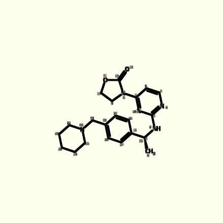 C[C@H](Nc1nccc(N2CCOC2=O)n1)c1ccc(CN2CCCCC2)cc1